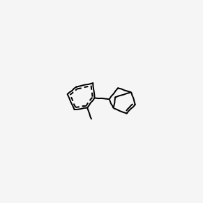 Cc1ccccc1C1CC2C=CC1C2